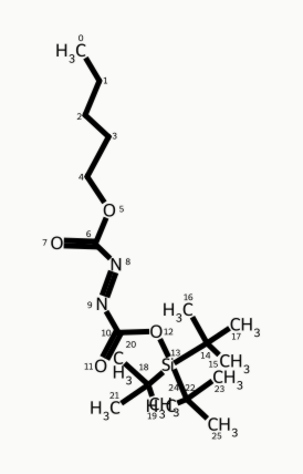 CCCCCOC(=O)N=NC(=O)O[Si](C(C)(C)C)(C(C)(C)C)C(C)(C)C